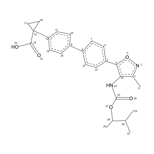 Cc1noc(-c2ccc(-c3ccc(C4(C(=O)O)CC4)cc3)cc2)c1NC(=O)OC(C)C(C)C